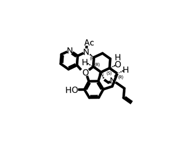 C=CCN1CC[C@]23c4c5ccc(O)c4O[C@H]2[C@H](N(C(C)=O)c2ncccc2C)CC[C@@]3(O)[C@H]1C5